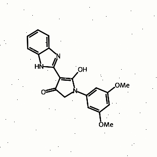 COc1cc(OC)cc(N2CC(=O)C(c3nc4ccccc4[nH]3)=C2O)c1